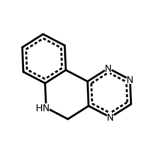 c1ccc2c(c1)NCc1ncnnc1-2